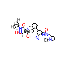 CCN1CCC[C@@H]1CNC(=O)c1cc(-c2cccc(CN3C[C@H](O)[C@@H]([C@H](C)O)[C@H]3C(=O)NC3C[C@H]4C[C@@H]([C@@H]3C)C4(C)C)c2OC)cc(N(C)C)c1